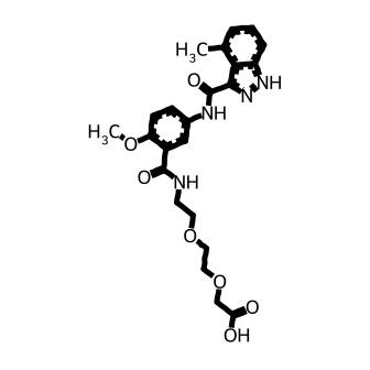 COc1ccc(NC(=O)c2n[nH]c3cccc(C)c23)cc1C(=O)NCCOCCOCC(=O)O